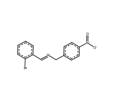 O=[N+]([O-])c1ccc(C/N=C/c2ccccc2Br)cc1